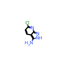 Nc1[nH]nc2nc(Cl)ccc12